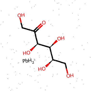 O=C(CO)[C@H](O)[C@@H](O)[C@H](O)CO.[PbH2]